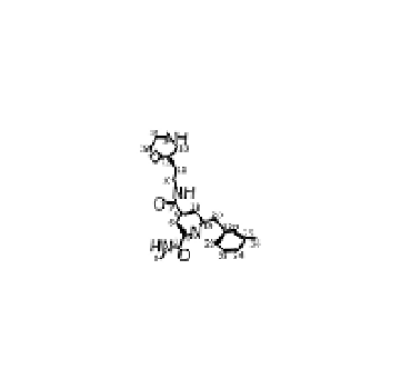 CNC(=O)c1cc(C(=O)NCCC2CNCCO2)cc(Cc2cccc(C)c2)n1